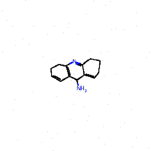 NC1C2=CCCCC2=NC2=C1C=CCC2